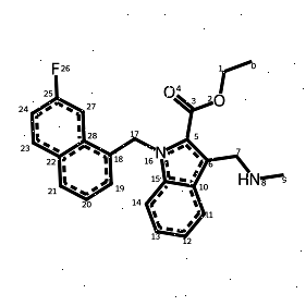 CCOC(=O)c1c(CNC)c2ccccc2n1Cc1cccc2ccc(F)cc12